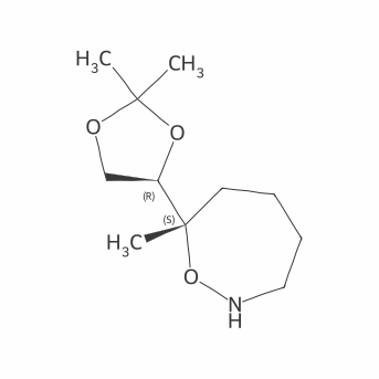 CC1(C)OC[C@H]([C@]2(C)CCCCNO2)O1